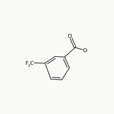 [O]C(=O)c1cccc(C(F)(F)F)c1